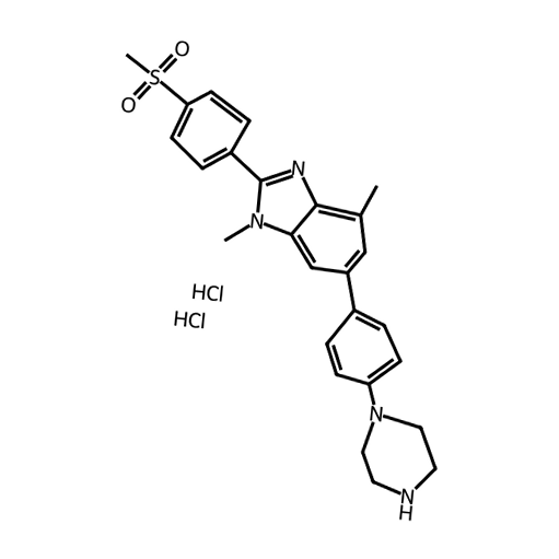 Cc1cc(-c2ccc(N3CCNCC3)cc2)cc2c1nc(-c1ccc(S(C)(=O)=O)cc1)n2C.Cl.Cl